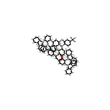 CC(C)(C)c1ccc2c(c1)Sc1cc(-c3cccc(-n4c5ccccc5c5ccccc54)c3-n3c4ccccc4c4ccccc43)cc3c1B2c1ccc(-c2cccc(-n4c5ccccc5c5ccccc54)c2-n2c4ccccc4c4ccccc42)cc1N3c1ccccc1-c1ccccc1